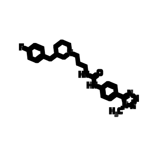 Cn1nnnc1-c1ccc(NC(=O)NCCCN2CCCC(Cc3ccc(F)cc3)C2)cc1